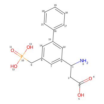 NC(CC(=O)O)c1cc(CP(=O)(O)O)cc(-c2ccccc2)c1